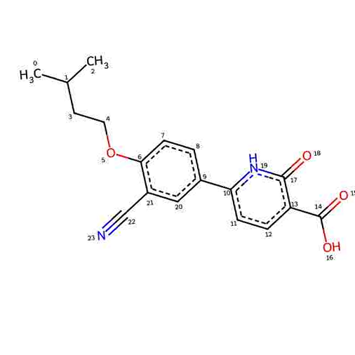 CC(C)CCOc1ccc(-c2ccc(C(=O)O)c(=O)[nH]2)cc1C#N